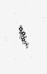 COCC(=O)NCc1ccc(Cl)c(C(=O)Nc2cccc3c2cnn3-c2ccc(Cl)cc2)c1